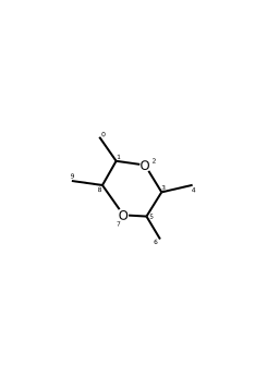 CC1OC(C)C(C)OC1C